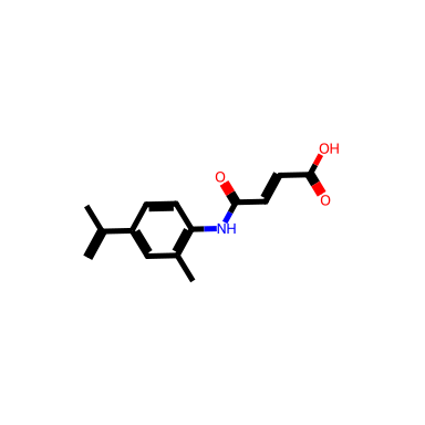 C=C(C)c1ccc(NC(=O)C=CC(=O)O)c(C)c1